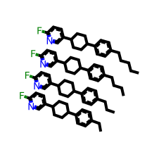 CCCCCc1ccc(C2CCC(c3ccc(F)nc3)CC2)cc1.CCCCc1ccc(C2CCC(c3ccc(F)nc3)CC2)cc1.CCCc1ccc(C2CCC(c3ccc(F)nc3)CC2)cc1.CCc1ccc(C2CCC(c3ccc(F)nc3)CC2)cc1